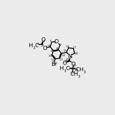 CC(=O)OC1COCc2c1cc(Br)cc2C1CCCN1C(=O)OC(C)(C)C